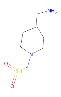 NCC1CCN(C[SH](=O)=O)CC1